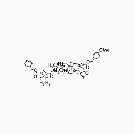 COc1ccc(COC(=O)N[C@@]23CC[C@]4(C)[C@H](CC[C@@H]5[C@@]6(C)CC[C@H](OC(=O)[C@H]7C[C@@H](C(=O)OCc8ccccc8)C7(C)C)C(C)(C)[C@@H]6CC[C@]54C)C2=C(C(C)C)C(=O)C3)cc1